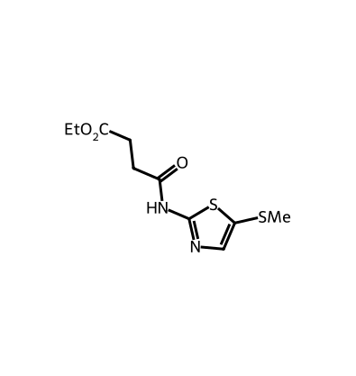 CCOC(=O)CCC(=O)Nc1ncc(SC)s1